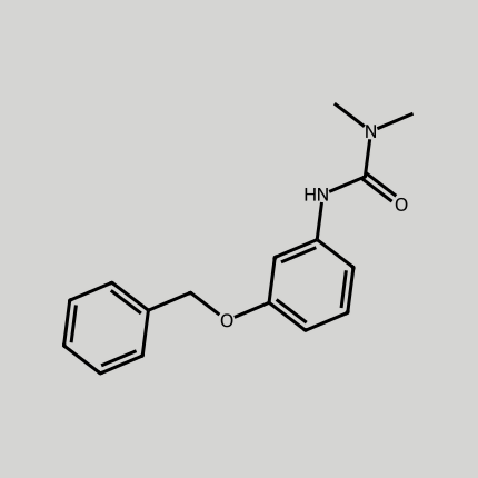 CN(C)C(=O)Nc1cccc(OCc2ccccc2)c1